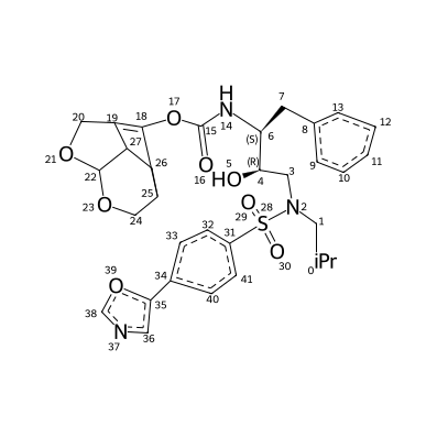 CC(C)CN(C[C@@H](O)[C@H](Cc1ccccc1)NC(=O)OC1=C2COC3OCC1CC23)S(=O)(=O)c1ccc(-c2cnco2)cc1